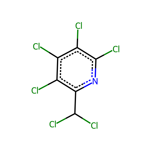 Clc1nc(C(Cl)Cl)c(Cl)c(Cl)c1Cl